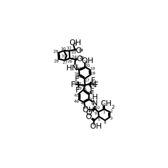 C=C1C=CCC(C(=O)O)C1C(=O)Nc1cc(C(c2ccc(O)c(NC(=O)C3C4C=CC(C4)C3C(=O)O)c2)(C(F)(F)F)C(F)(F)F)ccc1O